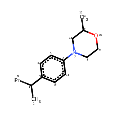 CC(C)C(C)c1ccc(N2CCOC(C(F)(F)F)C2)cc1